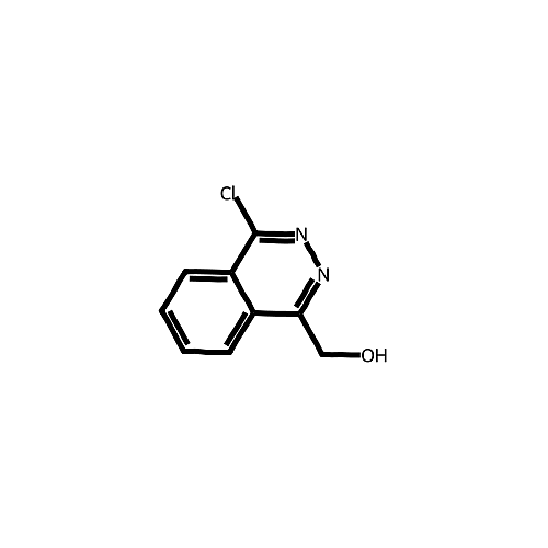 OCc1nnc(Cl)c2ccccc12